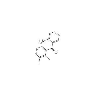 Cc1cccc(C(=O)c2ccccc2N)c1C